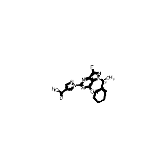 C[C@@H](C1CCCCC1)n1nc(F)c2nc(-n3cc(C(=O)O)cn3)nc(O)c21